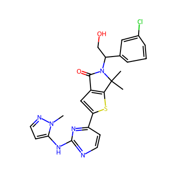 Cn1nccc1Nc1nccc(-c2cc3c(s2)C(C)(C)N(C(CO)c2cccc(Cl)c2)C3=O)n1